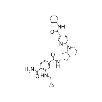 NC(=O)c1ccc(C(=O)NC2CC3CCCN(c4ccc(C(=O)NC5CCCC5)cn4)C3C2)cc1NCC1CC1